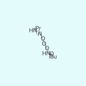 CCC(C)C(=O)NCCOCCOCCOCCN1CCC(NC(C)C)CC1